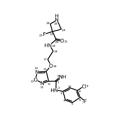 N=C(Nc1ccc(F)c(Cl)c1)c1nonc1OCCNC(=O)C1(F)CNC1